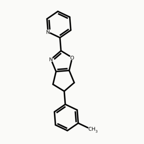 Cc1cccc(C2Cc3nc(-c4ccccn4)oc3C2)c1